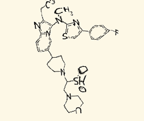 CCc1nc2ccc(C3CCN(C(CN4CCOCC4)[SH](=O)=O)CC3)cn2c1N(C)c1nc(-c2ccc(F)cc2)cs1